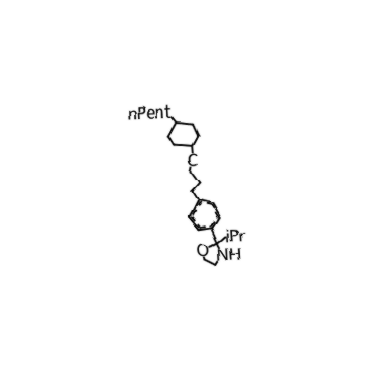 CCCCCC1CCC(CCCCc2ccc(C3(C(C)C)NCCO3)cc2)CC1